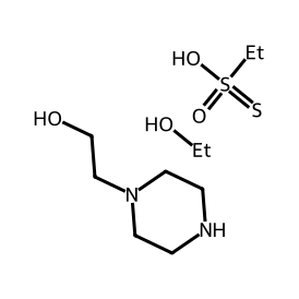 CCO.CCS(=O)(O)=S.OCCN1CCNCC1